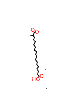 COC(=O)C(C)CCCCCCCCCCCCCCCCC(=O)O